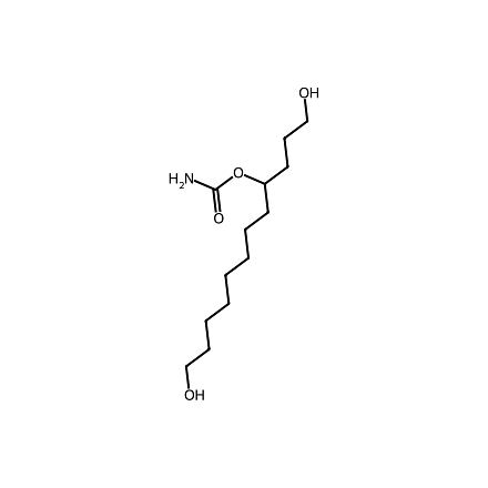 NC(=O)OC(CCCO)CCCCCCCCO